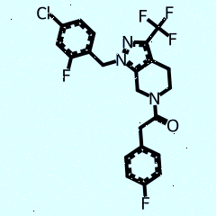 O=C(Cc1ccc(F)cc1)N1CCc2c(C(F)(F)F)nn(Cc3ccc(Cl)cc3F)c2C1